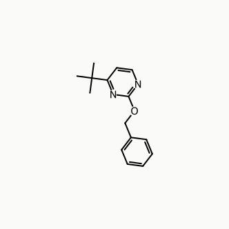 CC(C)(C)c1ccnc(OCc2ccccc2)n1